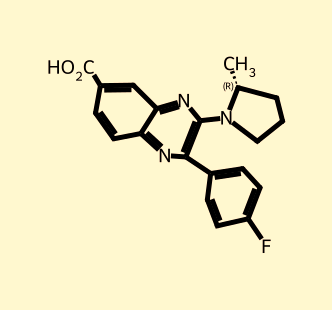 C[C@@H]1CCCN1c1nc2cc(C(=O)O)ccc2nc1-c1ccc(F)cc1